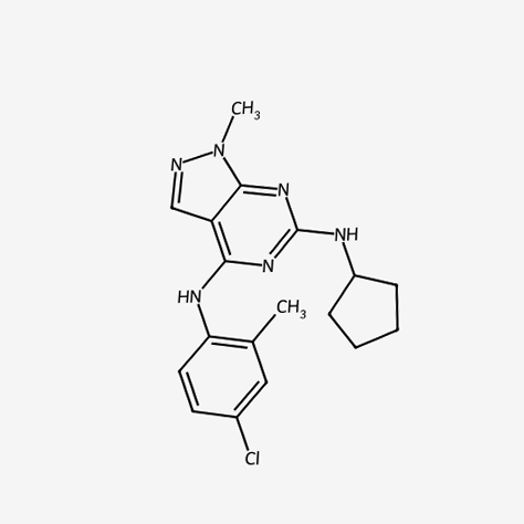 Cc1cc(Cl)ccc1Nc1nc(NC2CCCC2)nc2c1cnn2C